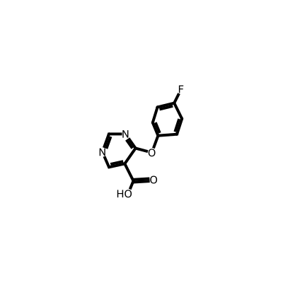 O=C(O)c1cncnc1Oc1ccc(F)cc1